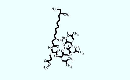 CCC(C)CCCCCCC[C@@H](O)CC(=O)N[C@@H](CCC(=O)OC)C(=O)N[C@@H](CC(C)C)C(=O)N[C@@H](CC(C)C)C(=O)N[C@@H](CC(C)C)C(=O)O